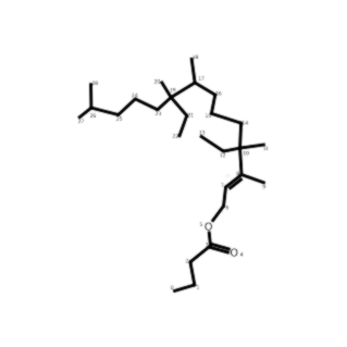 CCCC(=O)OC/C=C(\C)C(C)(CC)CCCC(C)C(C)(CC)CCCC(C)C